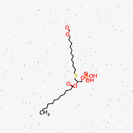 CCCCCCCCCCCC(=O)O[C@H](COP(=O)(O)O)CSCCCCCCCCCCCCOC=O